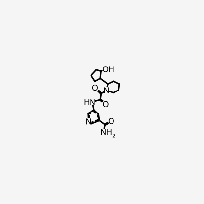 NC(=O)c1cncc(NC(=O)C(=O)N2CCCCC2C2CCCC2O)c1